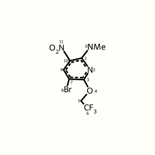 CNc1nc(OCC(F)(F)F)c(Br)cc1[N+](=O)[O-]